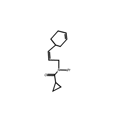 CC(C)N(C/C=C\C1CC=CCC1)C(=O)C1CC1